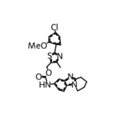 COc1cc(Cl)ccc1-c1nc(C)c(COC(=O)Nc2ccc3c(c2)nc2n3CCCC2)s1